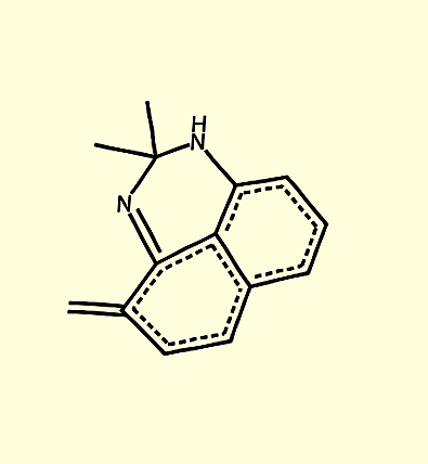 C=c1ccc2cccc3c2c1=NC(C)(C)N3